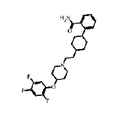 NC(=O)c1ccccc1C1CCC(CCN2CCC(Oc3cc(F)c(F)cc3F)CC2)CC1